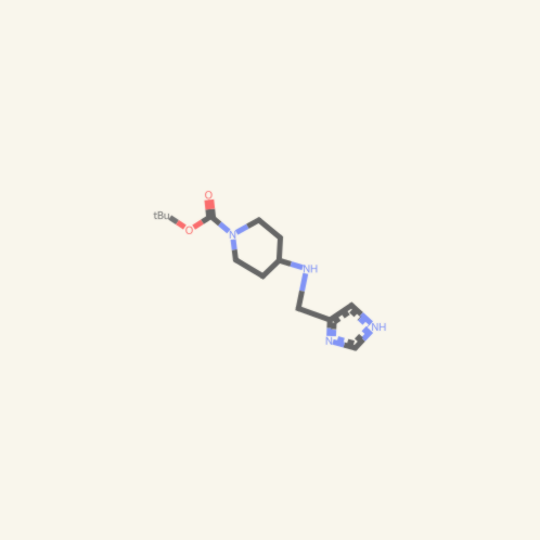 CC(C)(C)OC(=O)N1CCC(NCc2c[nH]cn2)CC1